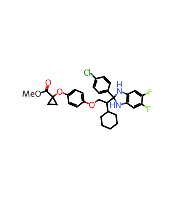 COC(=O)C1(Oc2ccc(OCC(C3CCCCC3)C3(c4ccc(Cl)cc4)Nc4cc(F)c(F)cc4N3)cc2)CC1